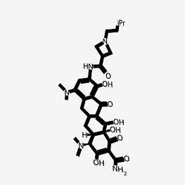 CC(C)CCN1CC(C(=O)Nc2cc(N(C)C)c3c(c2O)C(=O)C2=C(O)[C@]4(O)C(=O)C(C(N)=O)=C(O)[C@@H](N(C)C)[C@@H]4CC2C3)C1